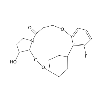 O=C1CCOc2cccc(F)c2C2CCC(CC2)OCC2C(O)CCN12